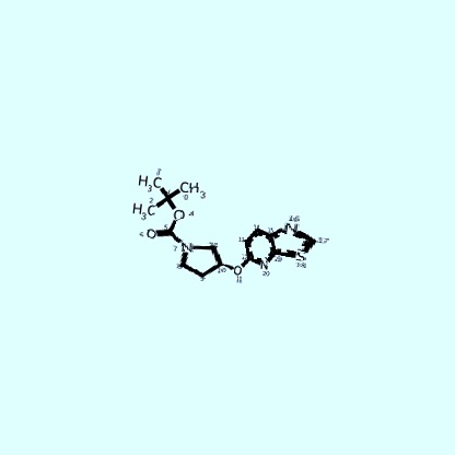 CC(C)(C)OC(=O)N1CC[C@H](Oc2ccc3n[c]sc3n2)C1